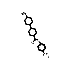 CCCC1CCC(C2CCC(C(=O)Oc3ccc(C(F)(F)F)cc3)CC2)CC1